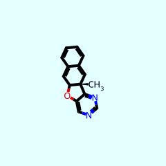 C[C@]12C=c3ccccc3=CC1Oc1cncnc12